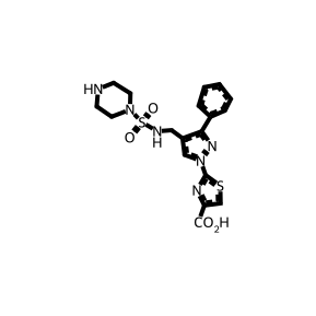 O=C(O)c1csc(-n2cc(CNS(=O)(=O)N3CCNCC3)c(-c3ccccc3)n2)n1